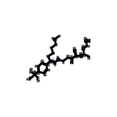 COCCCC/C(=N\OCCNC(=O)OC(C)OCO)c1ccc(C(F)(F)F)cc1